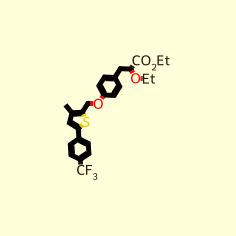 CCOC(=O)C(Cc1ccc(OCc2sc(-c3ccc(C(F)(F)F)cc3)cc2C)cc1)OCC